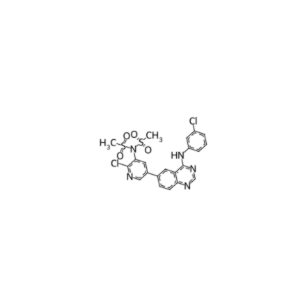 CS(=O)(=O)N(c1cc(-c2ccc3ncnc(Nc4cccc(Cl)c4)c3c2)cnc1Cl)S(C)(=O)=O